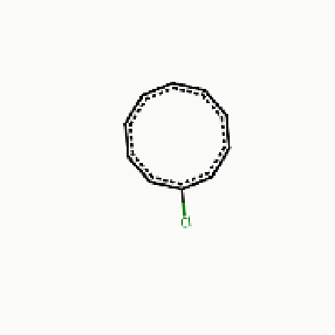 Clc1ccccccccc1